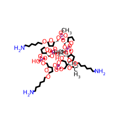 CCOC1(C)CCOP(=O)(O[C@@H]2C[C@H](OCCCCCCN)OC2COP(=O)(O)OC2CCO[C@@H]2COP(=O)(OC)OC2C[C@H](OCCCCCCN)O[C@@H]2COP(=O)(OC)OC2CCO[C@@H]2COP(=O)(OC)OC2C[C@H](OCCCCCCN)O[C@@H]2CO)OC1